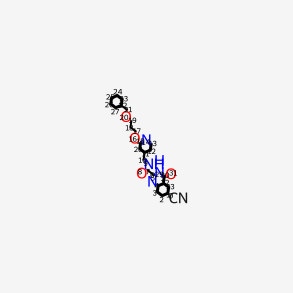 N#Cc1ccc2nc(C(=O)NCc3ccnc(OCCCOCc4ccccc4)c3)[nH]c(=O)c2c1